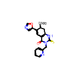 COC1Cc2[nH]c(=S)n(Cc3ccccn3)c(=O)c2C=C1c1cnco1